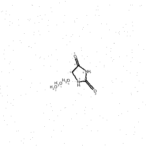 O.O.O.O=C1CNC(=O)N1